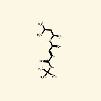 CC(C)CC(C)OC(=O)C=CC(=O)OC(C)(C)C